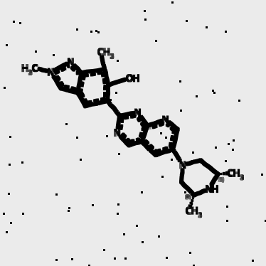 Cc1c(O)c(-c2ncc3cc(N4C[C@@H](C)N[C@@H](C)C4)cnc3n2)cc2cn(C)nc12